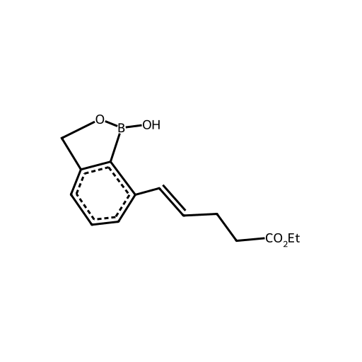 CCOC(=O)CC/C=C/c1cccc2c1B(O)OC2